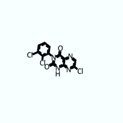 O=c1[nH]c2nc(Cl)cnc2c(=O)n1-c1cccc(Cl)c1Cl